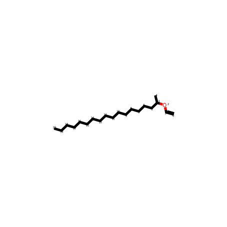 C=COC(C)CCCCCCCCCCCCCCCC